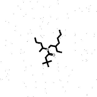 CCCCC(CC)CN(C(=O)CC(C)(C)C)C(C)CCC